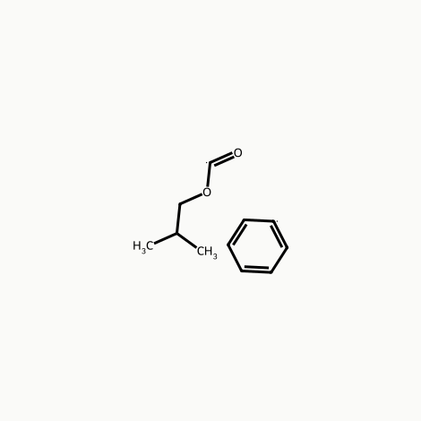 CC(C)CO[C]=O.[c]1ccccc1